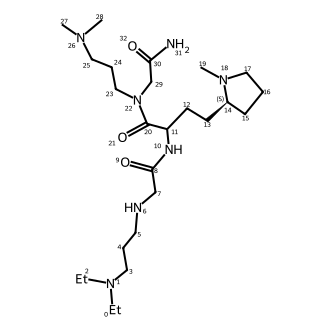 CCN(CC)CCCNCC(=O)NC(CC[C@@H]1CCCN1C)C(=O)N(CCCN(C)C)CC(N)=O